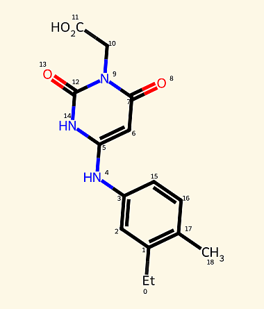 CCc1cc(Nc2cc(=O)n(CC(=O)O)c(=O)[nH]2)ccc1C